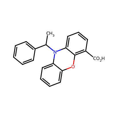 CC(c1ccccc1)N1c2ccccc2Oc2c(C(=O)O)cccc21